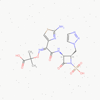 CC(C)(O/N=C(\C(=O)N[C@@H]1C(=O)N(S(=O)(=O)O)[C@@H]1Cn1ccnn1)c1csc(N)n1)C(=O)O